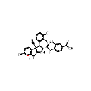 CC(C)(C)C[C@@H]1N[C@@H](C(=O)Nc2ccc(C(=O)O)cc2Cl)[C@H](c2cccc(Cl)c2F)[C@@]1(C#N)c1ccc(Cl)cc1F